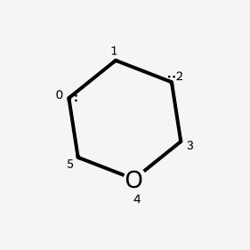 [C]1C[C]COC1